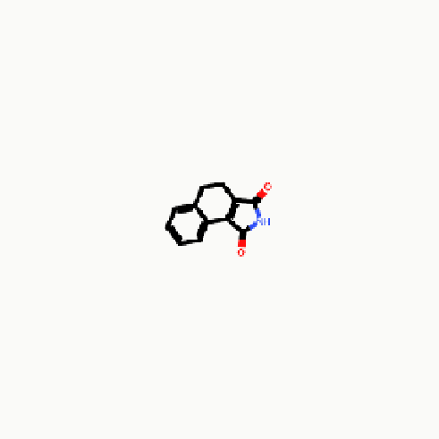 O=C1NC(=O)C2=C1CCc1ccccc12